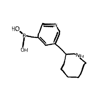 OB(O)c1cncc(C2CCCCN2)c1